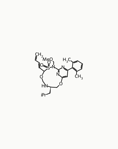 C=CC=CC1OCN[C@H](CC(C)C)COc2cc(-c3c(C)cccc3C)nc(n2)N(COC)S1(=O)=O